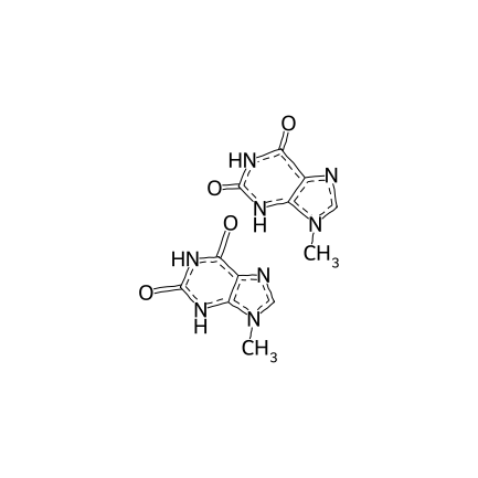 Cn1cnc2c(=O)[nH]c(=O)[nH]c21.Cn1cnc2c(=O)[nH]c(=O)[nH]c21